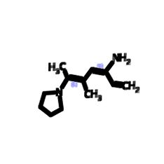 C=C/C(N)=C\C(C)=C(/C)N1CCCC1